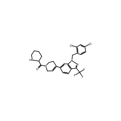 O=C(C1CCCCN1)N1CC=C(c2ccc3c(C(F)(F)F)nn(Cc4ccc(Cl)cc4Cl)c3c2)CC1